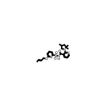 C/C=C/COc1cccc(S(=O)(=O)NC(=O)c2cccnc2N2CC(C)CC2(C)C)n1